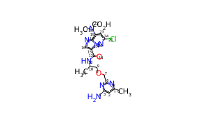 Cc1cc(N)nc(COCC(C)NC(=O)c2cnc3c(N(C)C(=O)O)cc(Cl)nn23)n1